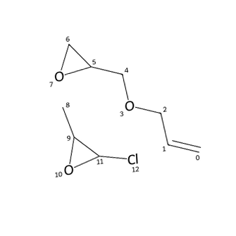 C=CCOCC1CO1.CC1OC1Cl